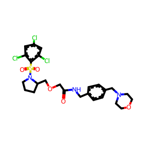 O=C(COCC1CCCN1S(=O)(=O)c1c(Cl)cc(Cl)cc1Cl)NCc1ccc(CN2CCOCC2)cc1